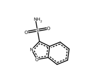 NS(=O)(=O)c1noc2ccccc12